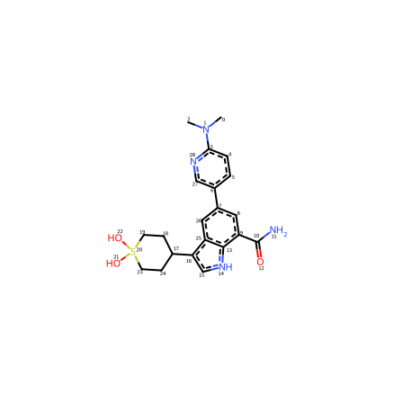 CN(C)c1ccc(-c2cc(C(N)=O)c3[nH]cc(C4CCS(O)(O)CC4)c3c2)cn1